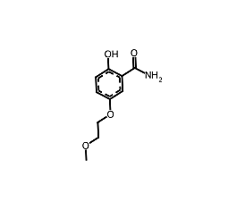 COCCOc1ccc(O)c(C(N)=O)c1